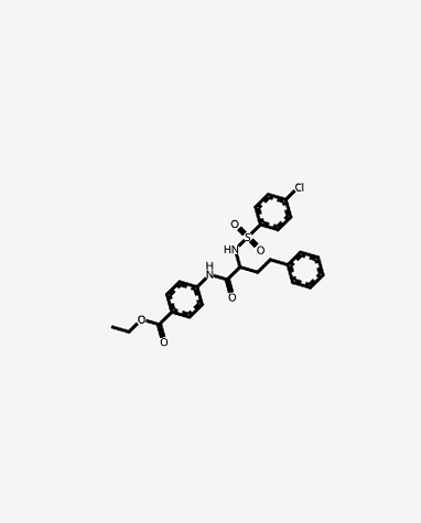 CCOC(=O)c1ccc(NC(=O)C(CCc2ccccc2)NS(=O)(=O)c2ccc(Cl)cc2)cc1